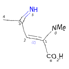 CN/C(=C\C(C)=N)C(=O)O